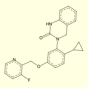 O=C1Nc2ccccc2CN1c1cc(OCc2ncccc2F)ccc1C1CC1